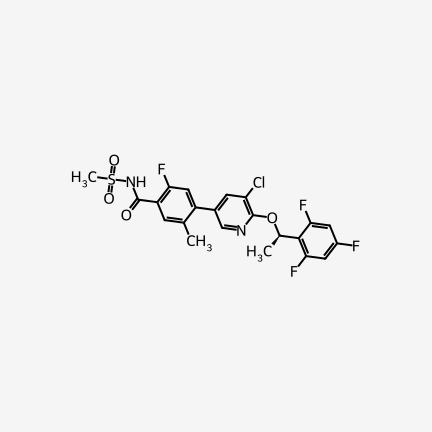 Cc1cc(C(=O)NS(C)(=O)=O)c(F)cc1-c1cnc(O[C@H](C)c2c(F)cc(F)cc2F)c(Cl)c1